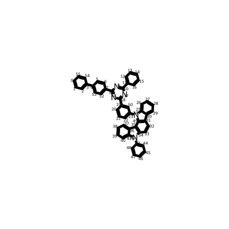 c1ccc(-c2ccc(-c3nc(-c4ccccc4)nc(-c4cccc(-n5c6ccccc6c6ccc7c(c8ccccc8n7-c7ccccc7)c65)c4)n3)cc2)cc1